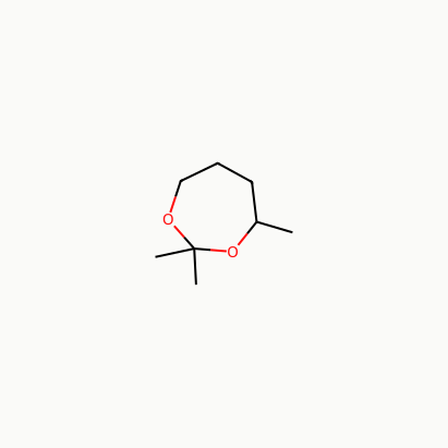 CC1CCCOC(C)(C)O1